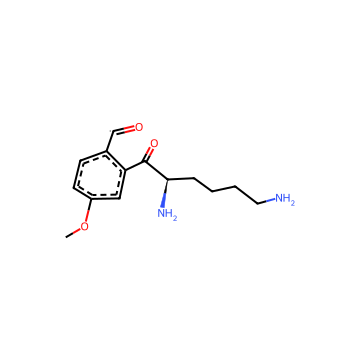 COc1ccc([C]=O)c(C(=O)[C@H](N)CCCCN)c1